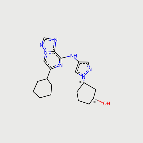 O[C@@H]1CCC[C@H](n2cc(Nc3nc(C4CCCCC4)cn4ncnc34)cn2)C1